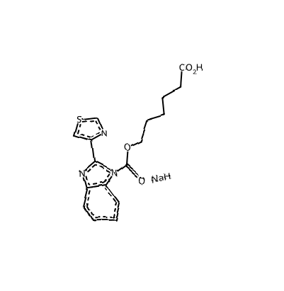 O=C(O)CCCCCOC(=O)n1c(-c2cscn2)nc2ccccc21.[NaH]